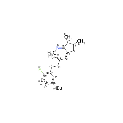 C=C(/C=C1/CC(C)C(C)/C1=N/C)CCC(/C=C(\C)C(C)CC)=C(\F)CC